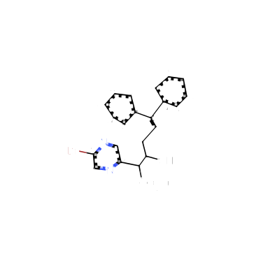 CCOC(=O)C(c1cnc(Br)cn1)C(C)CC=C(c1ccccc1)c1ccccc1